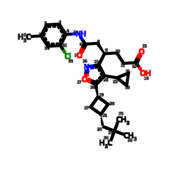 Cc1ccc(NC(=O)C[C@@H](CCC(=O)O)c2noc([C@H]3C[C@H](CC(C)(C)C)C3)c2C2CC2)c(Cl)c1